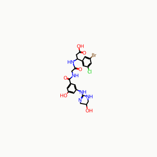 O=C(O)CC(NC(=O)CNC(=O)c1cc(O)cc(NC2=NCC(O)CN2)c1)c1cc(Cl)cc(Br)c1